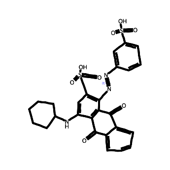 O=C1c2ccccc2C(=O)c2c(/N=N/c3cccc(S(=O)(=O)O)c3)c(S(=O)(=O)O)cc(NC3CCCCC3)c21